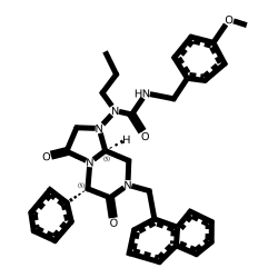 CCCN(C(=O)NCc1ccc(OC)cc1)N1CC(=O)N2[C@@H](c3ccccc3)C(=O)N(Cc3cccc4ccccc34)C[C@@H]21